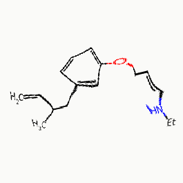 C=CC(C)Cc1cccc(OC/C=C\NCC)c1